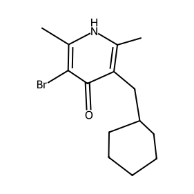 Cc1[nH]c(C)c(CC2CCCCC2)c(=O)c1Br